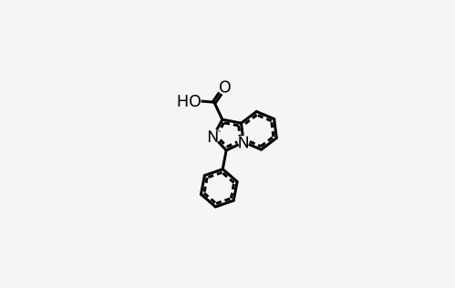 O=C(O)c1nc(-c2ccccc2)n2ccccc12